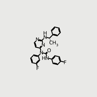 C[C@H](Nc1nccc(N(C(=O)Nc2ccc(F)cc2)c2cccc(F)c2)n1)c1ccccc1